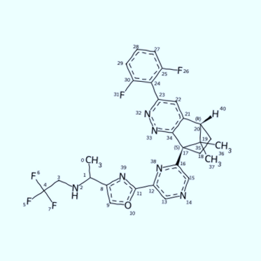 CC(NCC(F)(F)F)c1coc(-c2cncc([C@@]34CC[C@@H](c5cc(-c6c(F)cccc6F)nnc53)C4(C)C)n2)n1